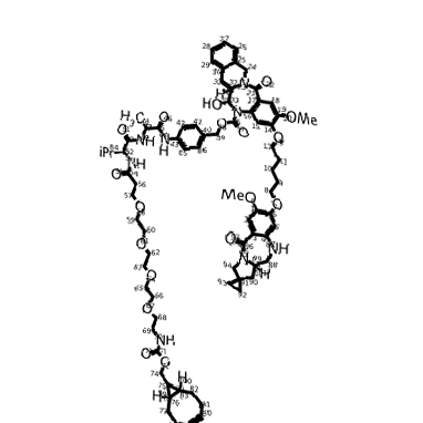 COc1cc2c(cc1OCCCCCOc1cc3c(cc1OC)C(=O)N1Cc4ccccc4C[C@H]1[C@H](O)N3C(=O)OCc1ccc(NC(=O)[C@H](C)NC(=O)[C@@H](NC(=O)CCOCCOCCOCCOCCNC(=O)OCC3[C@H]4CCC#CCC[C@@H]34)C(C)C)cc1)NC[C@@H]1CC3(CC3)CN1C2=O